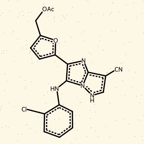 CC(=O)OCc1ccc(-c2nc3c(C#N)c[nH]n3c2Nc2ccccc2Cl)o1